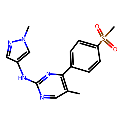 Cc1cnc(Nc2cnn(C)c2)nc1-c1ccc(S(C)(=O)=O)cc1